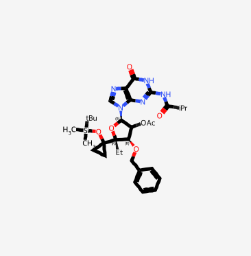 CC[C@@]1(C2(O[Si](C)(C)C(C)(C)C)CC2)O[C@@H](n2cnc3c(=O)[nH]c(NC(=O)C(C)C)nc32)C(OC(C)=O)[C@H]1OCc1ccccc1